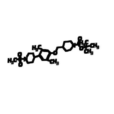 Cc1cc(C2CCN(S(C)(=O)=O)CC2)c(C)cc1OCC1CCN(C(=O)OC(C)(C)C)CC1